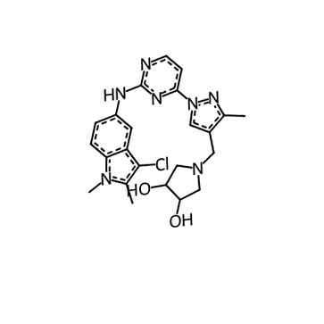 Cc1nn(-c2ccnc(Nc3ccc4c(c3)c(Cl)c(C)n4C)n2)cc1CN1CC(O)C(O)C1